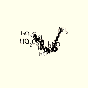 Cl.NCCCCCCC(=O)Nc1cccc(CS(=O)(=O)N2CCC(Nc3cccc(-c4sc(C(=O)O)c(OCC(=O)O)c4Cl)c3)CC2)c1